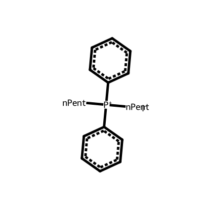 CCCCC[P+](CCCCC)(c1ccccc1)c1ccccc1.[I-]